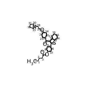 CCCCC(=O)Oc1ccc(-c2sc3ccccc3c2C(=O)c2ccc(OCCN3CCCC3)cc2)cc1